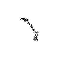 CC(=O)N1CCN(C(=O)CCOCCOCCOCCOCCNC(=O)C2CCC(CN3C(=O)C=CC3=O)CC2)CC1